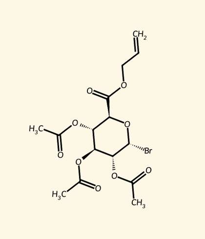 C=CCOC(=O)[C@H]1O[C@H](Br)[C@H](OC(C)=O)[C@@H](OC(C)=O)[C@@H]1OC(C)=O